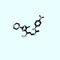 C=C(/N=C\C=C(/N)c1sc(N2CCOCC2)nc1C)Nc1ccc(N(C)C)cc1